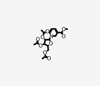 COC(=O)C1=CC=CN(C2OC(COC(C)=O)C(OC(C)=O)C2OC(C)=O)C1